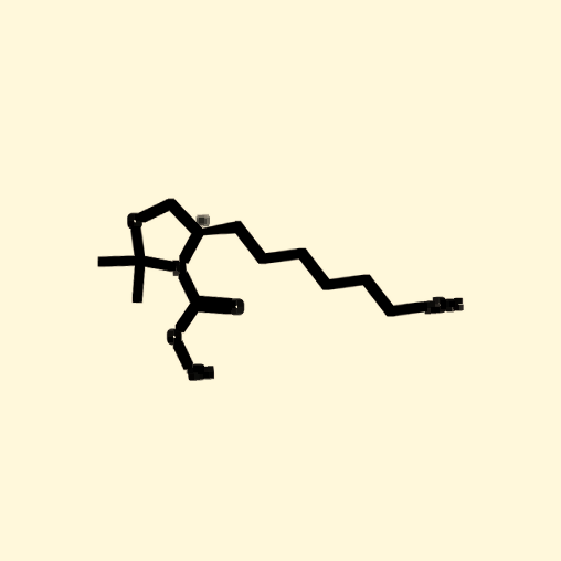 CCCCCCCCCCCCCCCC[C@@H]1COC(C)(C)N1C(=O)OC(C)(C)C